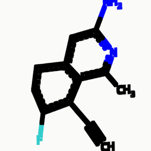 C#Cc1c(F)ccc2cc(N)nc(C)c12